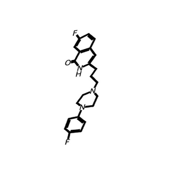 O=c1[nH]c(CCCN2CCN(c3ccc(F)cc3)CC2)cc2ccc(F)cc12